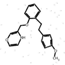 COc1ccc(CCc2ccccc2OCC2=COC=CN2)cc1